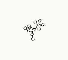 CC1(C)c2ccccc2-c2ccc(N(c3ccc(-c4ccccc4)cc3)c3ccc(-c4cc5c(-c6ccccc6)c(-c6ccccc6)n(-c6ccccc6)c5c5ccccc45)cc3)cc21